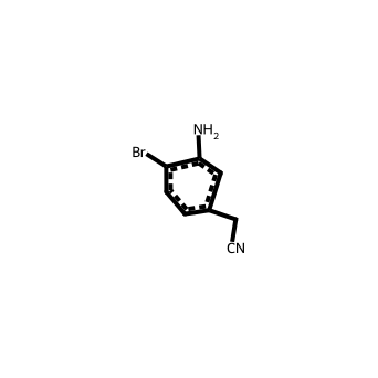 N#CCc1ccc(Br)c(N)c1